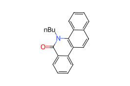 CCCCn1c(=O)c2ccccc2c2ccc3ccccc3c21